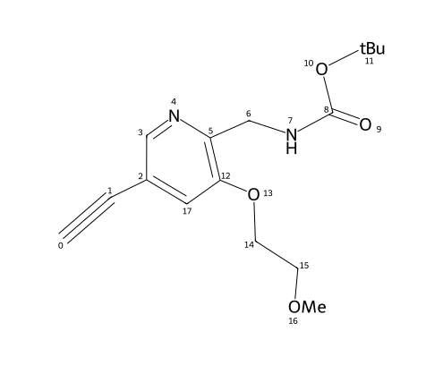 C#Cc1cnc(CNC(=O)OC(C)(C)C)c(OCCOC)c1